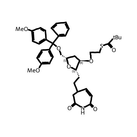 COc1ccc(C(OC[C@@H]2C[C@@H](OCCSC(=O)C(C)(C)C)[C@H](CCC3C=CC(=O)NC(=O)C3)O2)(c2ccccc2)c2ccc(OC)cc2)cc1